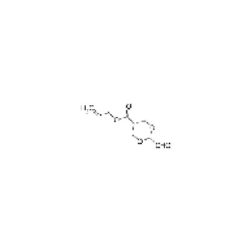 C=CCOC(=O)C1COC(C=O)OC1